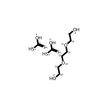 OC(=S)S.OC(=S)S.OCCOCCOCCO